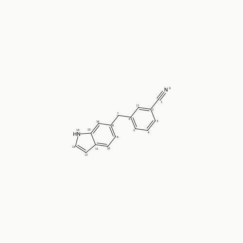 N#Cc1cccc([CH]c2ccc3cc[nH]c3c2)c1